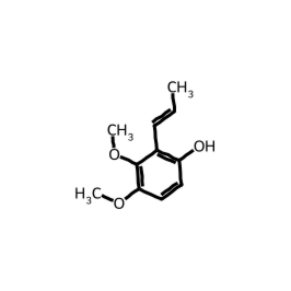 CC=Cc1c(O)ccc(OC)c1OC